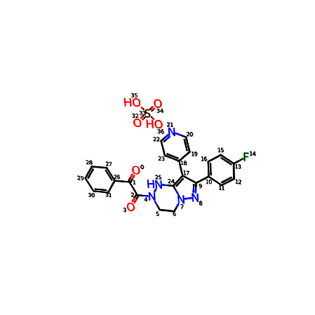 O=C(C(=O)N1CCn2nc(-c3ccc(F)cc3)c(-c3ccncc3)c2N1)c1ccccc1.O=S(=O)(O)O